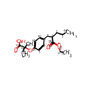 CCCC(Cc1ccc(OC(C)(C)C(=O)O)cc1)C(=O)OCC